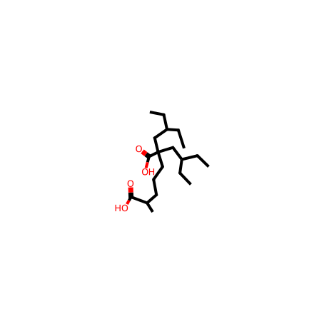 CCC(CC)CC(CCCC(C)C(=O)O)(CC(CC)CC)C(=O)O